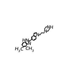 Cc1ccc2[nH]c(-c3ccc4c(ccn4CCCN4CCNCC4)c3)nc2c1C